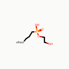 CCCCCCCCP(=O)(O)OCCO